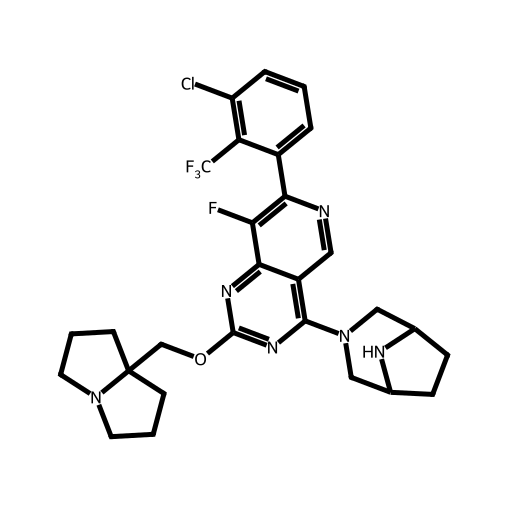 Fc1c(-c2cccc(Cl)c2C(F)(F)F)ncc2c(N3CC4CCC(C3)N4)nc(OCC34CCCN3CCC4)nc12